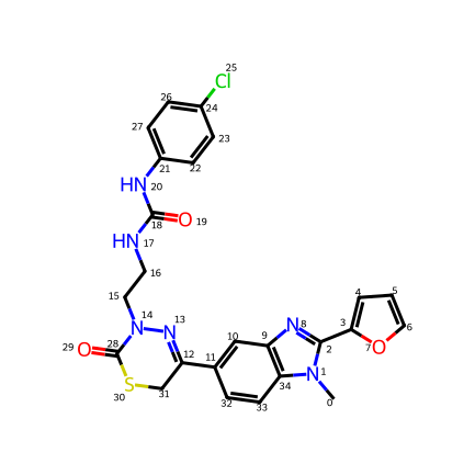 Cn1c(-c2ccco2)nc2cc(C3=NN(CCNC(=O)Nc4ccc(Cl)cc4)C(=O)SC3)ccc21